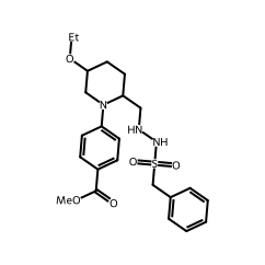 CCOC1CCC(CNNS(=O)(=O)Cc2ccccc2)N(c2ccc(C(=O)OC)cc2)C1